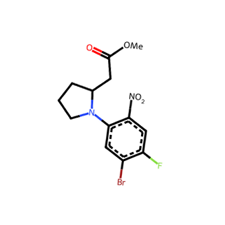 COC(=O)CC1CCCN1c1cc(Br)c(F)cc1[N+](=O)[O-]